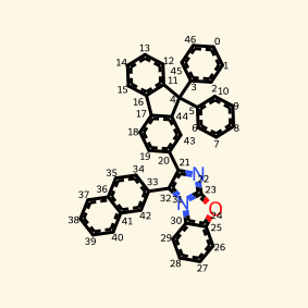 c1ccc(C2(c3ccccc3)c3ccccc3-c3ccc(-c4nc5oc6ccccc6n5c4-c4ccc5ccccc5c4)cc32)cc1